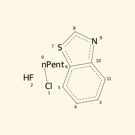 CCCCCCl.F.c1ccc2scnc2c1